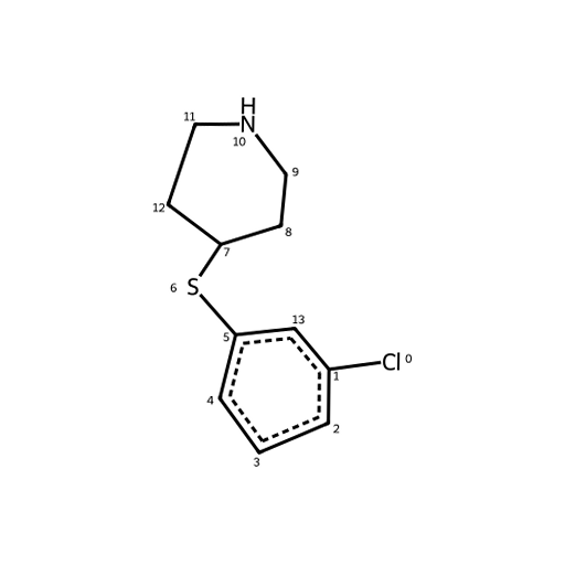 Clc1cccc(SC2CCNCC2)c1